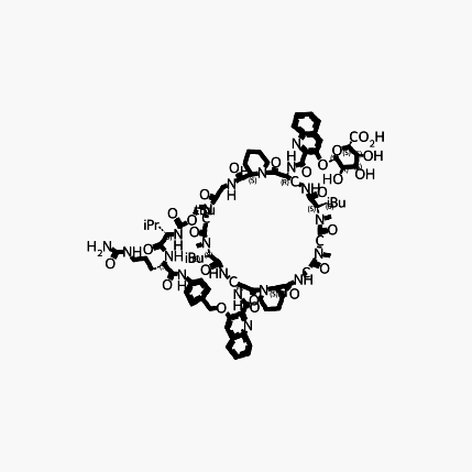 CC[C@H](C)[C@H]1C(=O)NC[C@@H](NC(=O)c2nc3ccccc3cc2O[C@@H]2O[C@H](C(=O)O)[C@@H](O)[C@H](O)[C@H]2O)C(=O)N2CCCC[C@H]2C(=O)NCC(=O)N(C)CC(=O)N(C)[C@@H]([C@@H](C)CC)C(=O)NC[C@@H](NC(=O)c2nc3ccccc3cc2OCc2ccc(NC(=O)[C@H](CCCNC(N)=O)NC(=O)[C@@H](NC(=O)OC(C)(C)C)C(C)C)cc2)C(=O)N2CCCC[C@H]2C(=O)NCC(=O)N(C)CC(=O)N1C